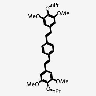 CCCOc1c(OC)cc(/C=C/c2ccc(/C=C/c3cc(OC)c(OCCC)c(OC)c3)cc2)cc1OC